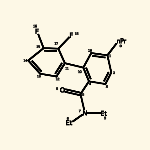 CCCc1ccc(C(=O)N(CC)CC)c(-c2cccc(F)c2F)c1